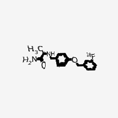 C[C@H](NCc1ccc(OCc2cccc([18F])c2)cc1)C(N)=O